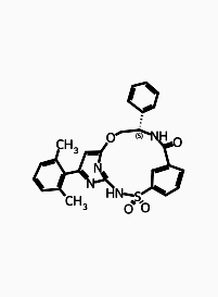 Cc1cccc(C)c1-c1cc2nc(n1)NS(=O)(=O)c1cccc(c1)C(=O)N[C@@H](c1ccccc1)CO2